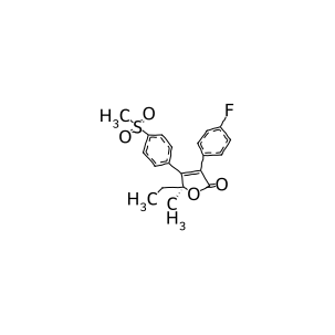 CC[C@]1(C)OC(=O)C(c2ccc(F)cc2)=C1c1ccc(S(C)(=O)=O)cc1